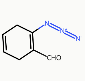 [N-]=[N+]=NC1=C(C=O)CC=CC1